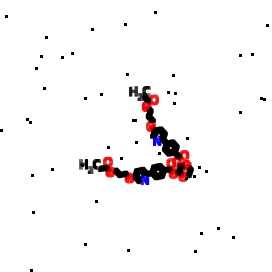 C=CC(=O)OCCCOc1ccc(-c2ccc(C(=O)O[C@@H]3OCCO[C@H]3OC(=O)c3ccc(-c4ccc(OCCCOC(=O)C=C)cn4)cc3)cc2)nc1